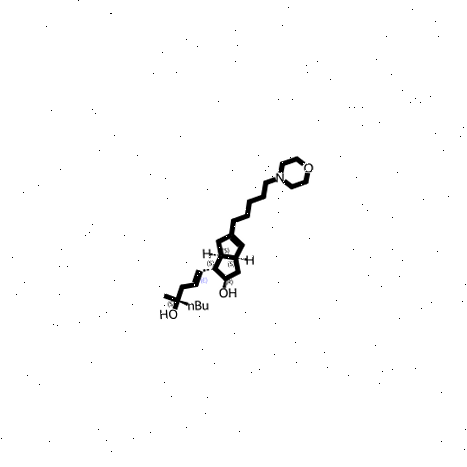 CCCC[C@](C)(O)C/C=C/[C@@H]1[C@H]2CC(CCCCCN3CCOCC3)=C[C@H]2C[C@H]1O